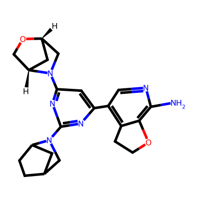 Nc1ncc(-c2cc(N3C[C@@H]4C[C@H]3CO4)nc(N3CC4CCC3C4)n2)c2c1OCC2